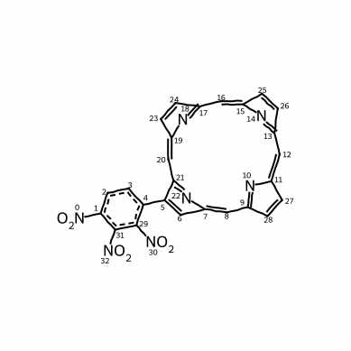 O=[N+]([O-])c1ccc(C2=CC3=CC4=NC(=CC5=NC(=CC6=NC(=CC2=N3)C=C6)C=C5)C=C4)c([N+](=O)[O-])c1[N+](=O)[O-]